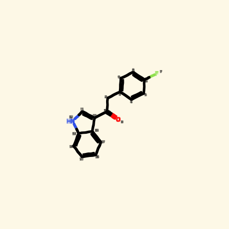 O=C(Cc1ccc(F)cc1)c1c[nH]c2ccccc12